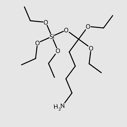 CCOC(CCCCN)(OCC)O[Si](OCC)(OCC)OCC